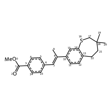 COC(=O)c1ccc(C=C(C)c2ccc3c(c2)SCC(C)(C)CC3)cc1